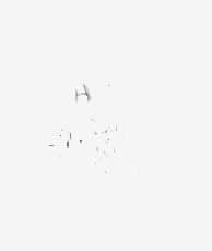 COC[C@H](C(=O)NCc1ccccc1)N(C(C)=O)[C@@H](C)c1ccc(OC)cc1